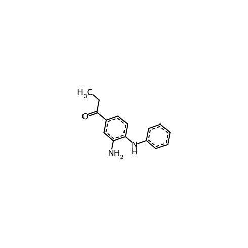 CCC(=O)c1ccc(Nc2ccccc2)c(N)c1